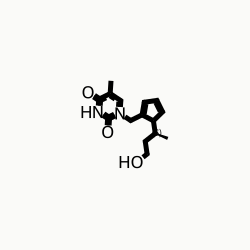 Cc1cn(CC2=CC=CC2[C@@H](C)CCO)c(=O)[nH]c1=O